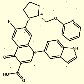 O=C(O)c1cn(-c2ccc3[nH]ccc3c2)c2cc(N3CCC[C@@H]3COc3ccccn3)c(F)cc2c1=O